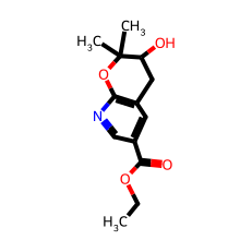 CCOC(=O)c1cnc2c(c1)CC(O)C(C)(C)O2